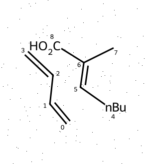 C=CC=C.CCCC/C=C(\C)C(=O)O